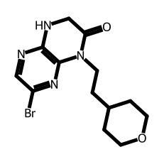 O=C1CNc2ncc(Br)nc2N1CCC1CCOCC1